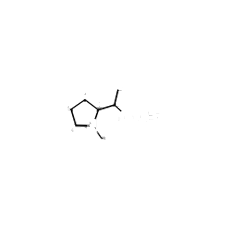 CCOC(=O)C(C)C1CCCN1C